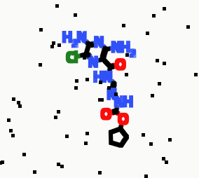 Nc1nc(N)c(C(=O)NC=NNC(=O)OC2CCCC2)nc1Cl